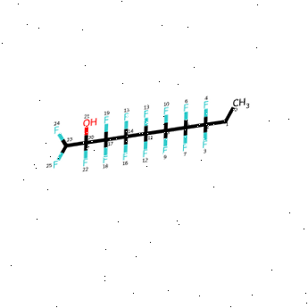 CCC(F)(F)C(F)(F)C(F)(F)C(F)(F)C(F)(F)C(F)(F)C(O)(F)[C](F)F